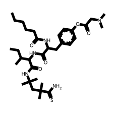 CCCCCC(=O)NC(Cc1ccc(OC(=O)CN(C)C)cc1)C(=O)NC(C(=O)NC(C)(C)CC(C)(C)C(N)=S)C(C)CC